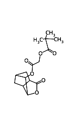 CC(C)(C)C(=O)OCC(=O)OC1C2CC3C(=O)OC1C3C2